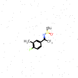 Cc1cc(C(=N[S+]([O-])C(C)(C)C)C(F)(F)F)ccc1F